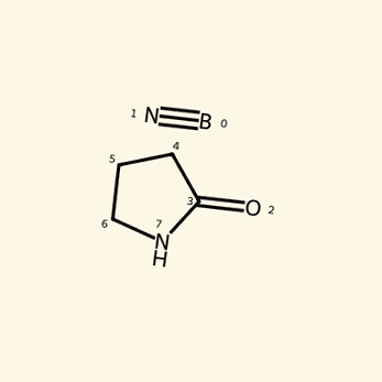 B#N.O=C1CCCN1